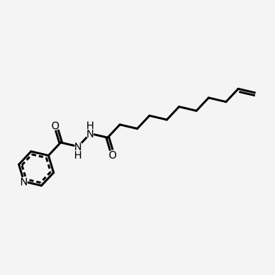 C=CCCCCCCCCC(=O)NNC(=O)c1ccncc1